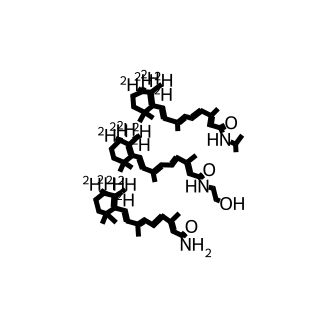 [2H]C([2H])([2H])C1=C(C=CC(C)=CC=CC(C)=CC(=O)NC(C)C)C(C)(C)CCC1([2H])[2H].[2H]C([2H])([2H])C1=C(C=CC(C)=CC=CC(C)=CC(=O)NCCO)C(C)(C)CCC1([2H])[2H].[2H]C([2H])([2H])C1=C(C=CC(C)=CC=CC(C)=CC(N)=O)C(C)(C)CCC1([2H])[2H]